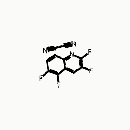 Fc1cc2c(F)c(F)ccc2nc1F.N#CC#N